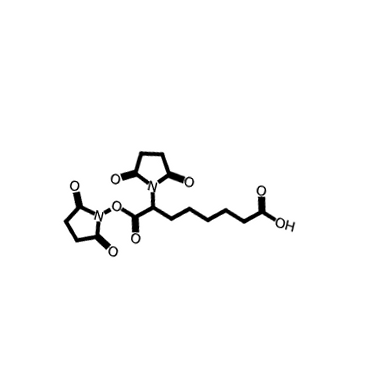 O=C(O)CCCCCC(C(=O)ON1C(=O)CCC1=O)N1C(=O)CCC1=O